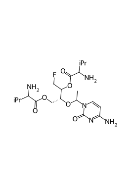 CC(C)C(N)C(=O)OC[C@@H](OC(C)n1ccc(N)nc1=O)C(CF)OC(=O)C(N)C(C)C